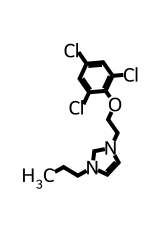 CCCN1C=CN(CCOc2c(Cl)cc(Cl)cc2Cl)C1